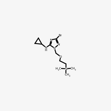 C[Si](C)(C)CCOCn1nc(Br)nc1NC1CC1